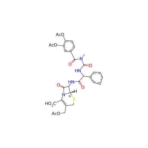 CC(=O)OCC1=C(C(=O)O)N2C(=O)C(NC(=O)C(NC(=O)N(C)C(=O)c3ccc(OC(C)=O)c(OC(C)=O)c3)c3ccccc3)[C@@H]2SC1